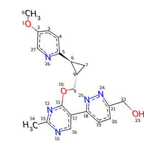 COc1ccc([C@H]2C[C@@H]2COc2nc(C)ncc2-c2ccc(CO)nn2)nc1